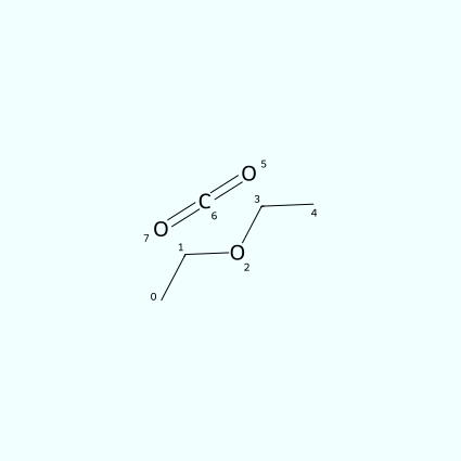 CCOCC.O=C=O